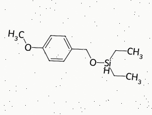 CC[SiH](CC)OCc1ccc(OC)cc1